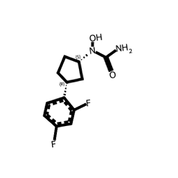 NC(=O)N(O)[C@H]1CC[C@@H](c2ccc(F)cc2F)C1